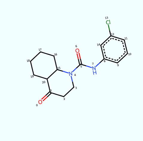 O=C1CCN(C(=O)Nc2cccc(Cl)c2)C2CCCCC12